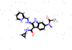 CN(C(=O)C(F)(F)F)c1ccc2c(C(=O)NC3CC3)c(NCc3ccccn3)[nH]c2c1